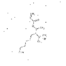 Br.C=CC(=O)OC(C)C(CCCCCCCCCCCCCCC)N(C)C